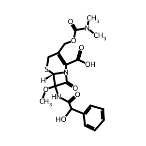 COC1(NC(=O)C(O)c2ccccc2)C(=O)N2C(C(=O)O)=C(COC(=O)N(C)C)CS[C@H]21